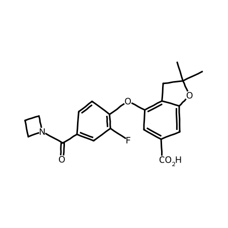 CC1(C)Cc2c(Oc3ccc(C(=O)N4CCC4)cc3F)cc(C(=O)O)cc2O1